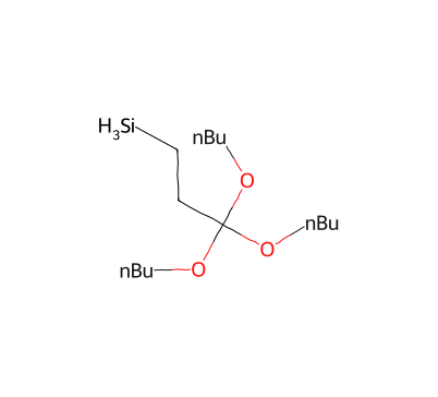 CCCCOC(CC[SiH3])(OCCCC)OCCCC